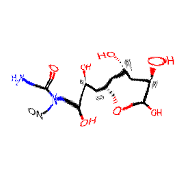 NC(=O)N(N=O)C(O)[C@@H](O)[C@H]1OC(O)[C@H](O)[C@H]1O